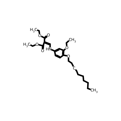 CCCCCCCCCCOc1ccc(NC=C(C(=O)OCC)C(=O)OCC)cc1OCC